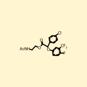 CC(=O)NCCOC(=O)C(Oc1ccc(F)c(C(F)(F)F)c1)c1ccc(Cl)cc1